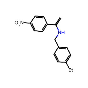 C=C(NCc1ccc(CC)cc1)c1ccc([N+](=O)[O-])cc1